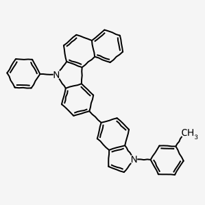 Cc1cccc(-n2ccc3cc(-c4ccc5c(c4)c4c6ccccc6ccc4n5-c4ccccc4)ccc32)c1